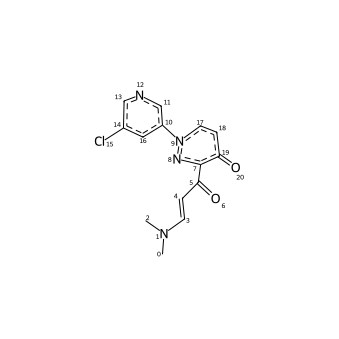 CN(C)/C=C/C(=O)c1nn(-c2cncc(Cl)c2)ccc1=O